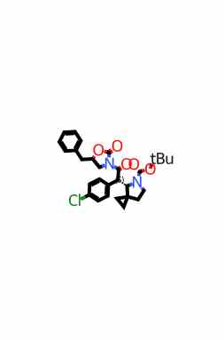 CC(C)(C)OC(=O)N1CCC2(CC2)C1[C@@H](C(=O)N1CC(Cc2ccccc2)OC1=O)c1ccc(Cl)cc1